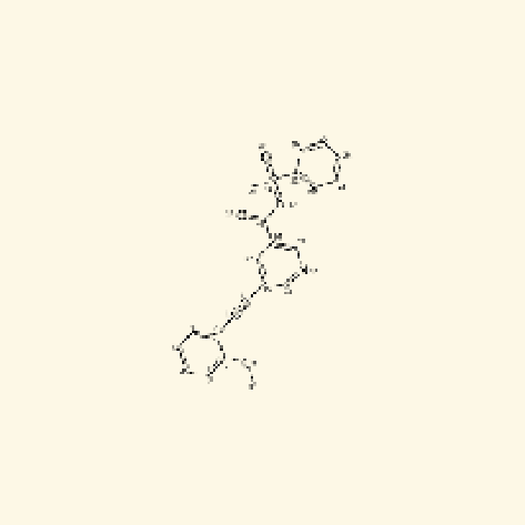 COc1ccccc1C#Cc1cncc(C(=O)N=S(C)(=O)c2ccccc2)c1